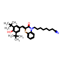 CC(C)(C)c1cc(/C=C2\Sc3ccccc3N(CCCCCCCC#N)C2=O)cc(C(C)(C)C)c1O